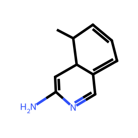 CC1C=CC=C2C=NC(N)=CC21